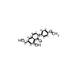 COc1ccc(-n2ccc3cc(CO)cc(O)c3c2=O)cc1